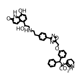 O=C(O)N(C(c1ccccc1)c1cccc(OCc2nc(-c3ccc(CCNCC(O)c4ccc(O)c5[nH]c(=O)ccc45)cc3)no2)c1)C1CN2CCC1CC2